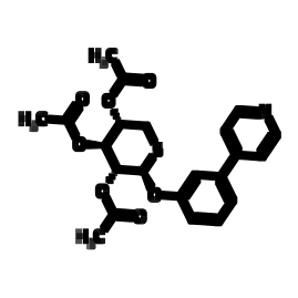 CC(=O)O[C@@H]1[C@@H](OC(C)=O)[C@H](OC(C)=O)CS[C@H]1Oc1cccc(-c2ccncc2)c1